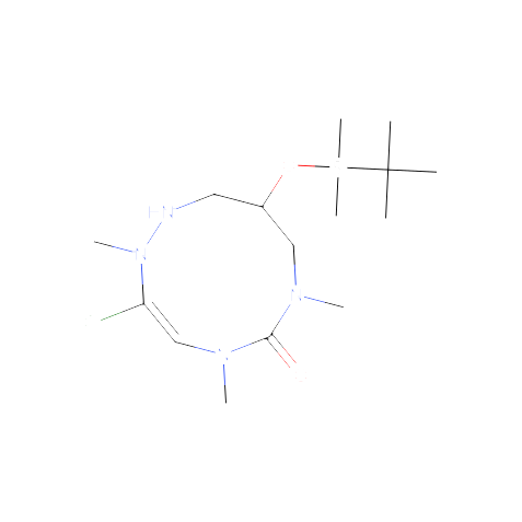 CN1/C=C(/Cl)N(C)NCC(O[Si](C)(C)C(C)(C)C)CN(C)C1=O